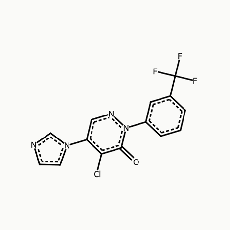 O=c1c(Cl)c(-n2ccnc2)cnn1-c1cccc(C(F)(F)F)c1